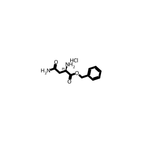 Cl.NC(=O)C[C@@H](N)C(=O)OCc1ccccc1